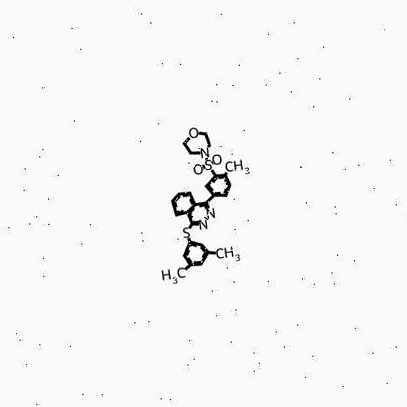 Cc1cc(C)cc(Sc2nnc(-c3ccc(C)c(S(=O)(=O)N4CCOCC4)c3)c3ccccc23)c1